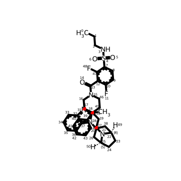 CCCNS(=O)(=O)c1ccc(F)c(C(=O)N2CCC(CCN3[C@@H]4CC[C@H]3CC(n3c(C)nc5ccccc53)C4)(c3ccccc3)CC2)c1F